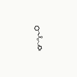 O=C(/C=C/c1ccccc1)OCCn1ccnc1